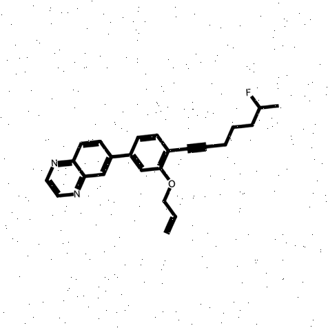 C=CCOc1cc(-c2ccc3nccnc3c2)ccc1C#CCCCC(C)F